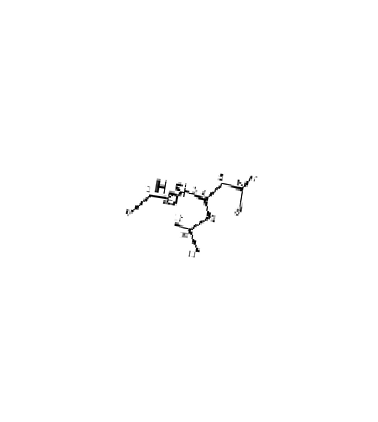 CCO[SiH2]C(CC(C)C)CC(C)C